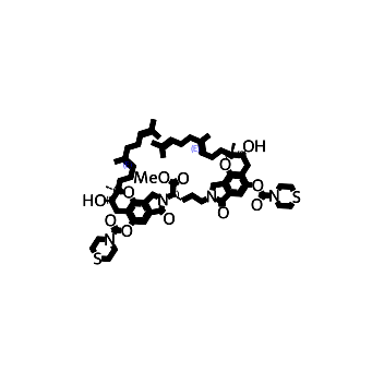 COC(=O)[C@H](CCCN1Cc2c(cc(OC(=O)N3CCSCC3)c3c2O[C@](C)(CC/C=C(\C)CCC=C(C)C)[C@@H](O)C3)C1=O)N1Cc2c(cc(OC(=O)N3CCSCC3)c3c2O[C@](C)(CC/C=C(\C)CCC=C(C)C)[C@@H](O)C3)C1=O